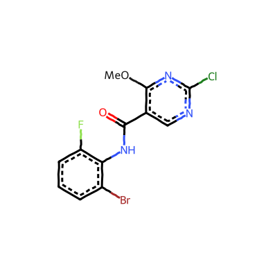 COc1nc(Cl)ncc1C(=O)Nc1c(F)cccc1Br